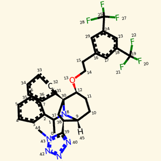 CC(c1ccccc1)N1[C@@H]2CC[C@H](OCCc3cc(C(F)(F)F)cc(C(F)(F)F)c3)[C@@]1(c1ccccc1)C[C@@H]2c1nnnn1C